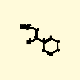 CC/C(=C\C(=O)O)C1=CCCOC1